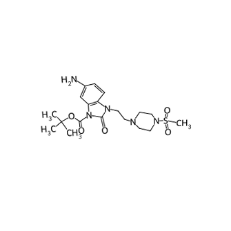 CC(C)(C)OC(=O)n1c(=O)n(CCN2CCN(S(C)(=O)=O)CC2)c2ccc(N)cc21